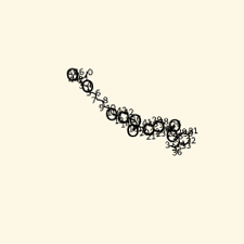 CCC1(COCCCCCCOc2ccc(OC(=O)c3ccc4cc(C(=O)OC5CC(C)CCC5C(C)C)ccc4c3)cc2)COC1